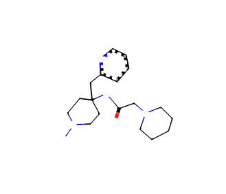 CN1CCC(Cc2ccccn2)(NC(=O)CN2CCCCC2)CC1